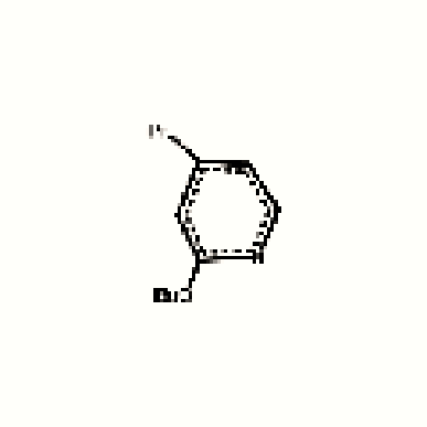 CC(C)COc1cc(C(C)C)ccn1